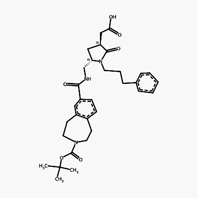 CC(C)(C)OC(=O)N1CCc2ccc(C(=O)NC[C@@H]3C[C@@H](CC(=O)O)C(=O)N3CCCc3ccccc3)cc2CC1